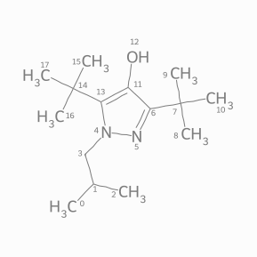 CC(C)Cn1nc(C(C)(C)C)c(O)c1C(C)(C)C